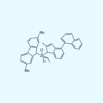 C[CH]=[Zr]([Cl])([Cl])([CH]1C(C)=Cc2c(-c3cccc4ccccc34)cccc21)[CH]1c2cc(C(C)(C)C)ccc2-c2ccc(C(C)(C)C)cc21